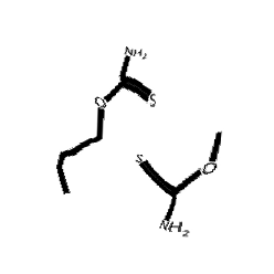 CCCOC(N)=S.COC(N)=S